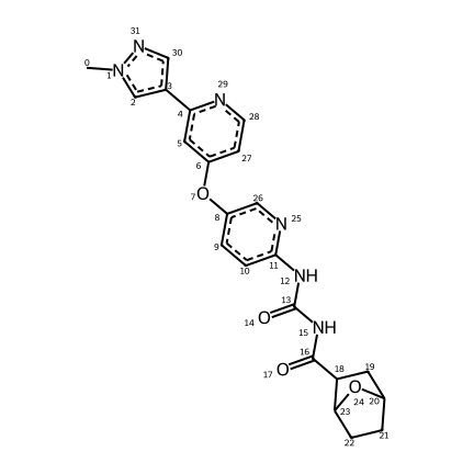 Cn1cc(-c2cc(Oc3ccc(NC(=O)NC(=O)C4CC5CCC4O5)nc3)ccn2)cn1